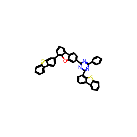 c1ccc(-c2nc(-c3ccc4c(c3)oc3c(-c5ccc6c(c5)sc5ccccc56)cccc34)nc(-c3cccc4c3sc3ccccc34)n2)cc1